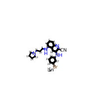 N#Cc1nc2cccc(NCCCN3CCCC3)c2cc1Nc1cccc(Br)c1.[Sn]